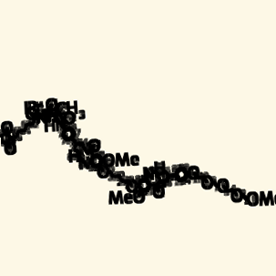 COCCOCCOCCOCCOc1ccc(C2=CN3C(=O)c4cc(OC)c(OCCCCCOc5cc6c(cc5OC)C(=O)N5C=C(c7ccc(NC(=O)[C@H](C)NC(=O)C(NC(=O)CCCCCN8C(=O)C=CC8=O)C(C)C)cc7)C[C@@H]5C=N6)cc4N=C[C@H]3C2)cc1